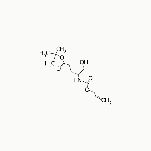 C=CCOC(=O)NC(CO)CCC(=O)OC(C)(C)C